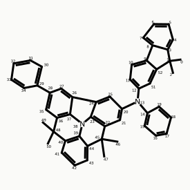 CC1(C)c2ccccc2-c2ccc(N(c3ccccc3)c3cc4c5c(c3)c3cc(-c6ccccc6)cc6c3n5-c3c(cccc3C4(C)C)C6(C)C)cc21